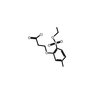 CCOS(=O)(=O)c1ccc(C)cc1OCCC(=O)Cl